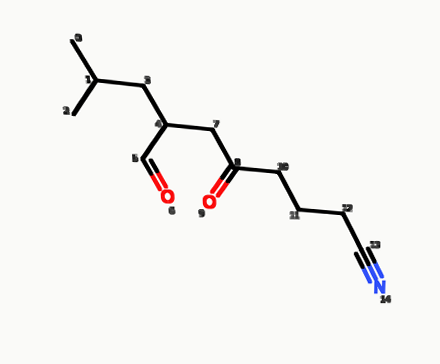 CC(C)CC(C=O)CC(=O)CCCC#N